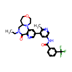 CCN1CC2CCOCCN2c2cc(-c3cc(NC(=O)c4cccc(C(F)(F)F)c4)cnc3C)cnc2C1=O